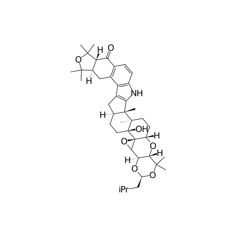 CC(C)C[C@H]1O[C@H]2C3O[C@@]34[C@H](CC[C@@]3(C)[C@@]4(O)CC[C@H]4Cc5c([nH]c6ccc7c(c56)C[C@@H]5[C@@H](C7=O)C(C)(C)OC5(C)C)[C@@]43C)O[C@@H]2C(C)(C)O1